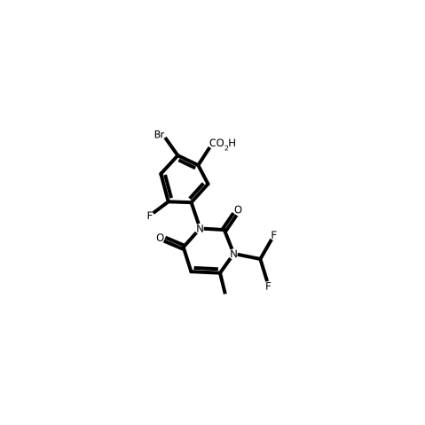 Cc1cc(=O)n(-c2cc(C(=O)O)c(Br)cc2F)c(=O)n1C(F)F